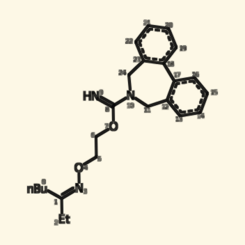 CCCC/C(CC)=N\OCCOC(=N)N1Cc2ccccc2-c2ccccc2C1